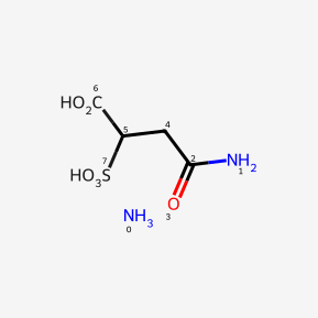 N.NC(=O)CC(C(=O)O)S(=O)(=O)O